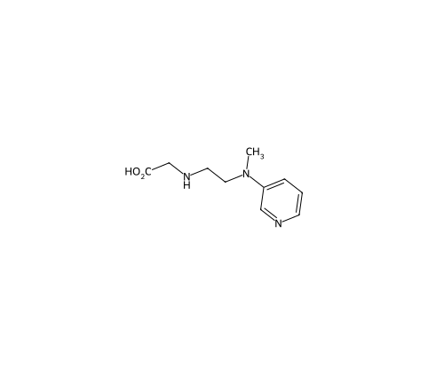 CN(CCNCC(=O)O)c1cccnc1